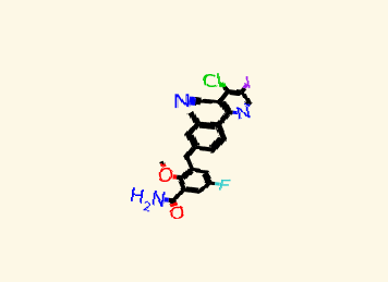 COc1c(Cc2ccc(-c3ncc(I)c(Cl)c3C#N)c(C)c2)cc(F)cc1C(N)=O